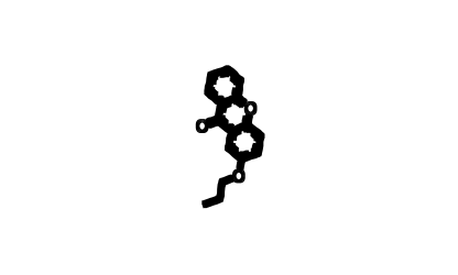 CCCOc1ccc2oc3ccccc3c(=O)c2c1